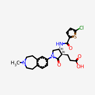 CN1CCc2ccc(N3C[C@H](NC(=O)c4ccc(Cl)s4)[C@@H](CCC(=O)O)C3=O)cc2CC1